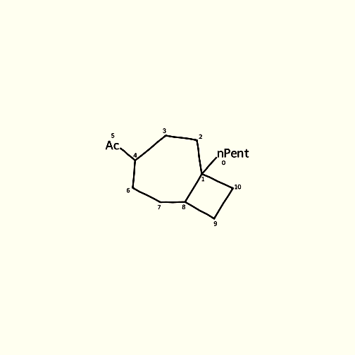 CCCCCC12CCC(C(C)=O)CCC1CC2